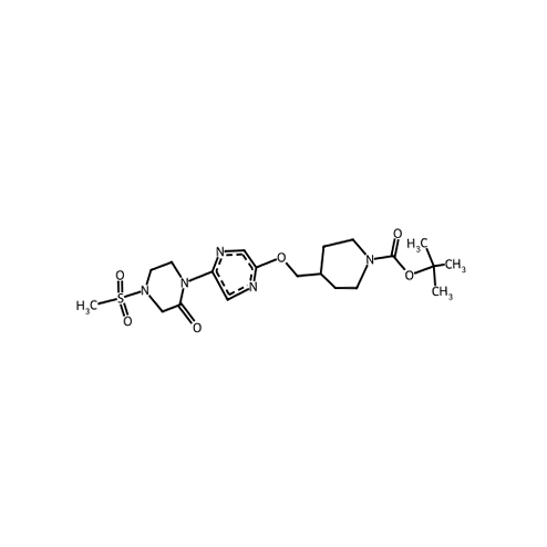 CC(C)(C)OC(=O)N1CCC(COc2cnc(N3CCN(S(C)(=O)=O)CC3=O)cn2)CC1